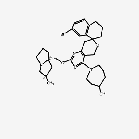 C[C@H]1CN2CCC[C@@]2(COc2nc3c(c(N4CCCC(O)CC4)n2)COC2(CCCc4ccc(Br)cc42)C3)C1